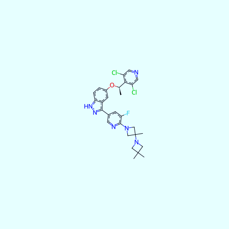 C[C@@H](Oc1ccc2[nH]nc(-c3cnc(N4CC(C)(N5CC(C)(C)C5)C4)c(F)c3)c2c1)c1c(Cl)cncc1Cl